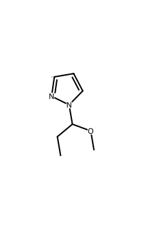 CCC(OC)n1cc[c]n1